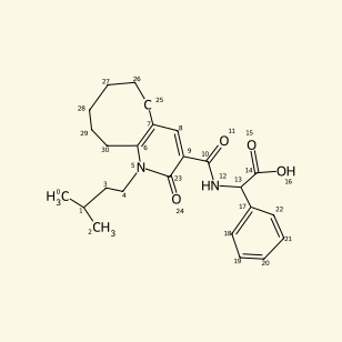 CC(C)CCn1c2c(cc(C(=O)NC(C(=O)O)c3ccccc3)c1=O)CCCCCC2